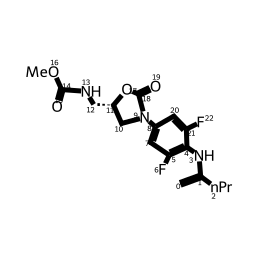 C=C(CCC)Nc1c(F)cc(N2C[C@H](CNC(=O)OC)OC2=O)cc1F